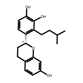 CC(C)CCc1c([C@H]2CCc3ccc(O)cc3O2)ccc(O)c1O